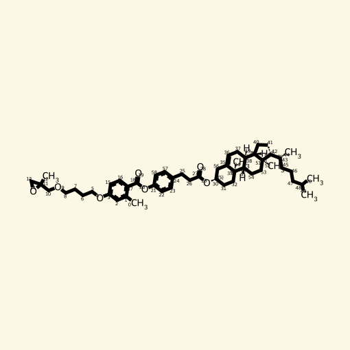 Cc1cc(OCCCCOCC2(C)CO2)ccc1C(=O)Oc1ccc(CCC(=O)O[C@H]2CC[C@@]3(C)C(=CC[C@H]4[C@@H]5CC[C@H]([C@H](C)CCCC(C)C)[C@@]5(C)CC[C@@H]43)C2)cc1